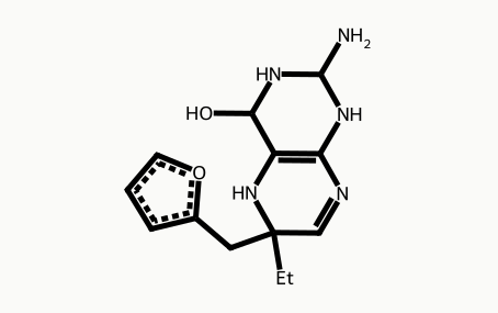 CCC1(Cc2ccco2)C=NC2=C(N1)C(O)NC(N)N2